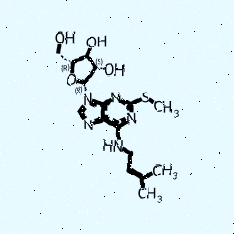 CSc1nc(NCC=C(C)C)c2ncn([C@@H]3O[C@H](CO)C(O)[C@@H]3O)c2n1